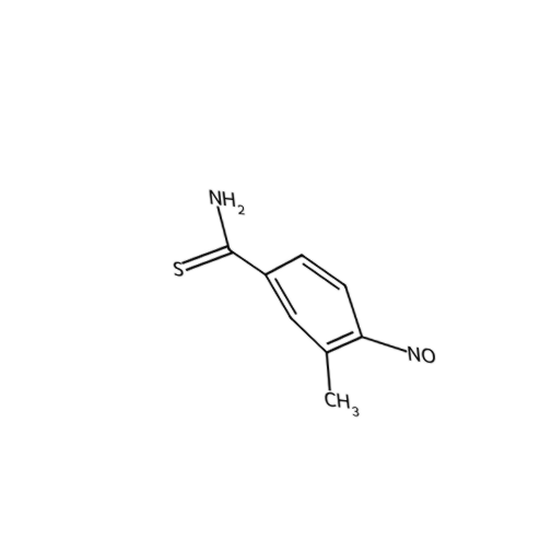 Cc1cc(C(N)=S)ccc1N=O